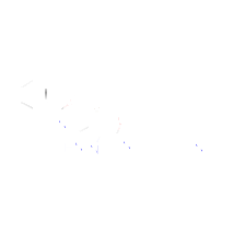 CCN1CCC(CCNC(=O)c2n[nH]c(NC(=O)c3ccccc3Cl)c2Br)CC1